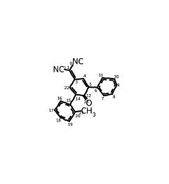 [C-]#[N+]/C(C#N)=C1\C=C(c2ccccc2)C(=O)C(c2ccccc2C)=C1